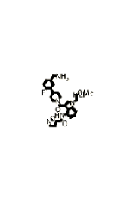 COCCn1cc(C(=O)N2CCC(c3cc(CN)ccc3F)CC2)c2c(NC(=O)c3ccno3)cccc21.Cl